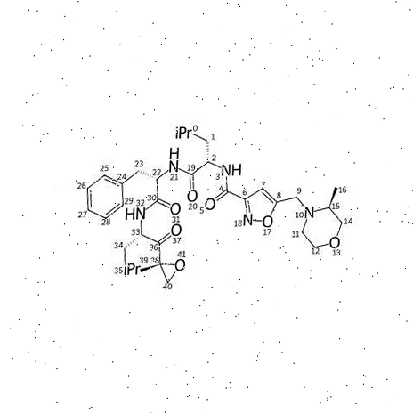 CC(C)C[C@H](NC(=O)c1cc(CN2CCOC[C@@H]2C)on1)C(=O)N[C@@H](Cc1ccccc1)C(=O)N[C@@H](CC(C)C)C(=O)[C@@]1(C)CO1